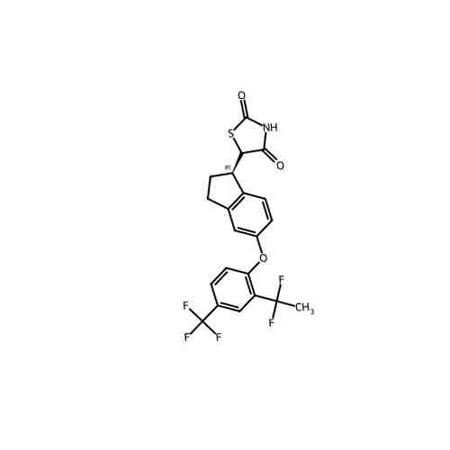 CC(F)(F)c1cc(C(F)(F)F)ccc1Oc1ccc2c(c1)CC[C@H]2C1SC(=O)NC1=O